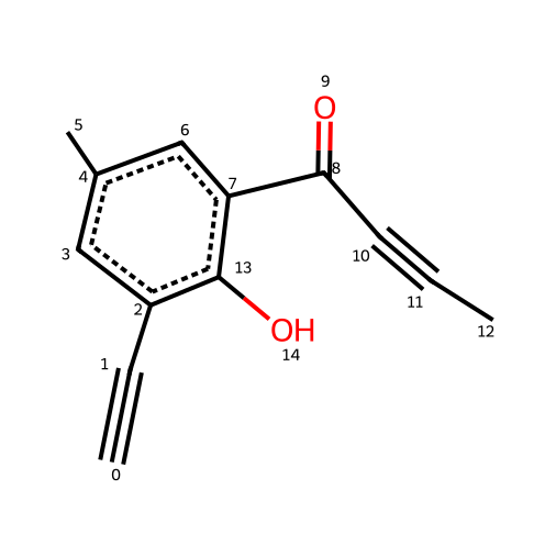 C#Cc1cc(C)cc(C(=O)C#CC)c1O